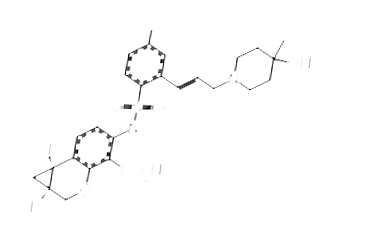 CC1(O)CCN(CC=Cc2cc(F)ccc2S(=O)(=O)Nc2ccc3c(c2C(=O)O)OC[C@@H]2C[C@H]32)CC1